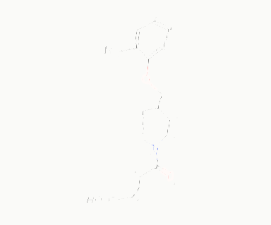 CC(C)(C)c1ccccc1OCC1CCN(C(=O)CCC(=O)O)CC1